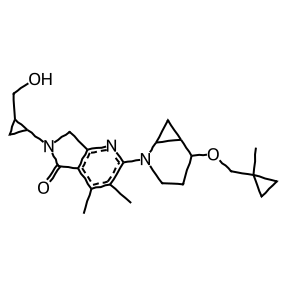 Cc1c(N2CCC(OCC3(C)CC3)C3CC32)nc2c(c1C)C(=O)N(C1CC1CO)C2